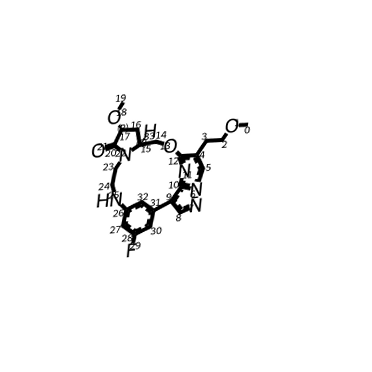 COCCc1cn2ncc3c2nc1OC[C@@H]1C[C@@H](OC)C(=O)N1CCNc1cc(F)cc-3c1